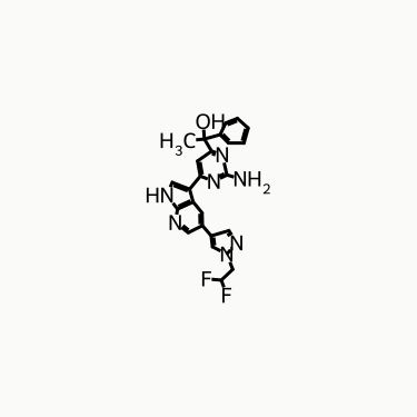 CC(O)(c1ccccc1)c1cc(-c2c[nH]c3ncc(-c4cnn(CC(F)F)c4)cc23)nc(N)n1